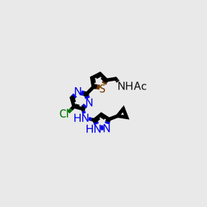 CC(=O)NCc1ccc(-c2ncc(Cl)c(Nc3cc(C4CC4)n[nH]3)n2)s1